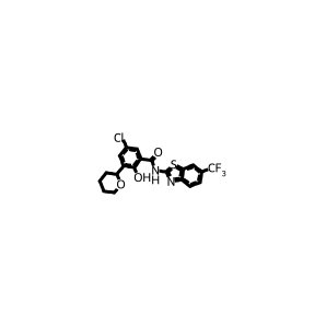 O=C(Nc1nc2ccc(C(F)(F)F)cc2s1)c1cc(Cl)cc(C2CCCCO2)c1O